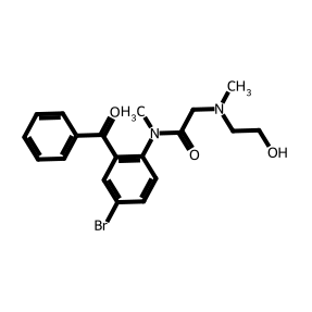 CN(CCO)CC(=O)N(C)c1ccc(Br)cc1C(=O)c1ccccc1